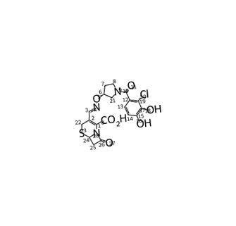 O=C(O)C1=C(C=NO[C@H]2CCN(C(=O)c3ccc(O)c(O)c3Cl)C2)CSC2CC(=O)N12